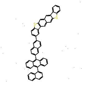 c1ccc2c(-c3c4ccccc4c(-c4ccc5cc(-c6ccc7sc8cc9cc%10c(cc9cc8c7c6)sc6ccccc6%10)ccc5c4)c4ccccc34)cccc2c1